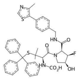 Cc1ncsc1-c1ccc(CNC(=O)[C@H]2[C@@H](F)[C@@H](O)CN2C(=O)[C@@H](NC(=O)O)C(C)(C)SC(c2ccccc2)(c2ccccc2)c2ccccc2)cc1